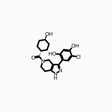 O=C([C@H]1CC[C@H](O)CC1)N1CCc2[nH]nc(-c3cc(Cl)c(O)cc3O)c2C1